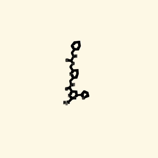 Nc1nc(C(=O)NCc2cccc(COC(=O)NCc3ccccc3)n2)cc(-c2ccco2)n1